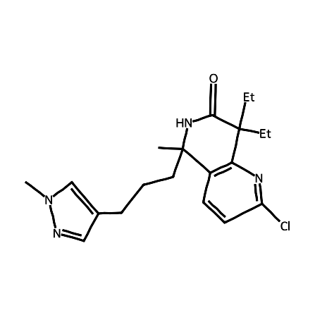 CCC1(CC)C(=O)NC(C)(CCCc2cnn(C)c2)c2ccc(Cl)nc21